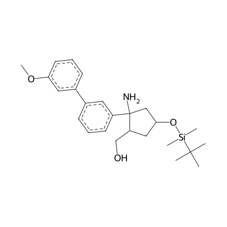 COc1cccc(-c2cccc(C3(N)CC(O[Si](C)(C)C(C)(C)C)CC3CO)c2)c1